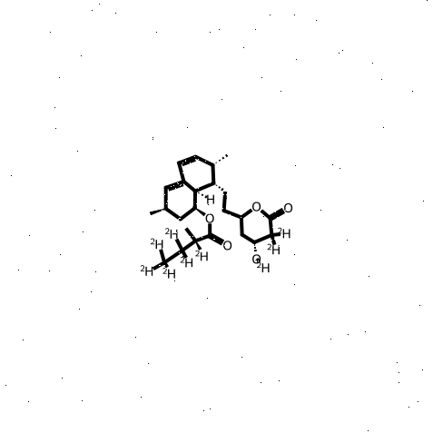 [2H]O[C@@H]1CC(CC[C@@H]2[C@@H]3C(=C[C@H](C)C[C@@H]3OC(=O)[C@@]([2H])(C)C([2H])([2H])C([2H])([2H])[2H])C=C[C@@H]2C)OC(=O)C1([2H])[2H]